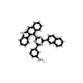 Bc1cccc(-c2nc(-c3ccc4ccccc4c3)nc(-c3c4ccccc4cc4sc5ccccc5c34)n2)c1